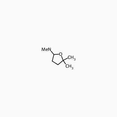 CNC1CCC(C)(C)O1